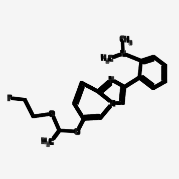 CC(OCCF)Oc1ccc2nc(-c3ccccc3N(C)C)cn2c1